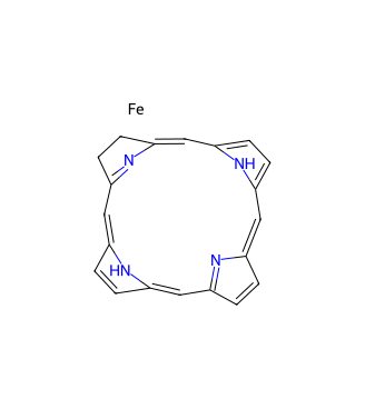 C1=Cc2cc3ccc(cc4nc(cc5ccc(cc1n2)[nH]5)CC4)[nH]3.[Fe]